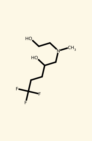 CN(CCO)CC(O)CCC(F)(F)F